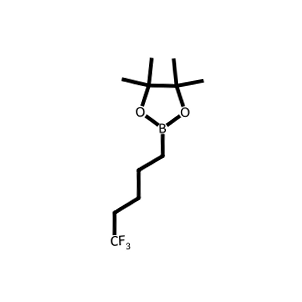 CC1(C)OB(CCCCC(F)(F)F)OC1(C)C